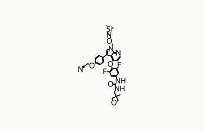 C[SiH](C)CCOCn1cc(-c2ccc(OCC#N)cc2)c2c(Oc3c(F)cc(NC(=O)NCC4(C)COC4)cc3F)ccnc21